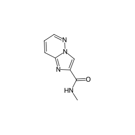 CNC(=O)c1cn2ncccc2n1